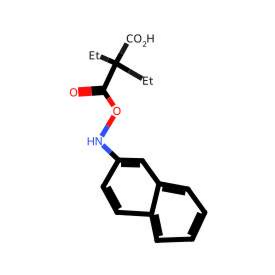 CCC(CC)(C(=O)O)C(=O)ONc1ccc2ccccc2c1